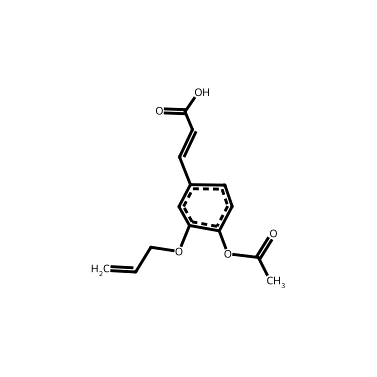 C=CCOc1cc(C=CC(=O)O)ccc1OC(C)=O